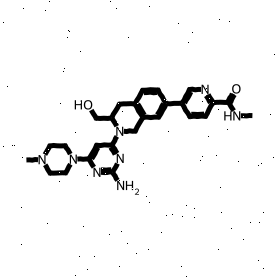 CNC(=O)c1ccc(-c2ccc3c(c2)CN(c2cc(N4CCN(C)CC4)nc(N)n2)C(CO)C3)cn1